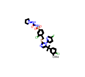 COc1cc(C(C)(C)c2cnc(SCc3ccc(S(=O)(=O)NC(=O)NN4CCCC4)cc3Cl)n2-c2ccc(F)cn2)ccc1Cl